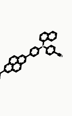 N#Cc1ccc(N(c2ccc(-c3cc4ccc5cc(-c6ccccn6)cc6ccc(c3)c4c56)cc2)c2cccc3ccccc23)cc1